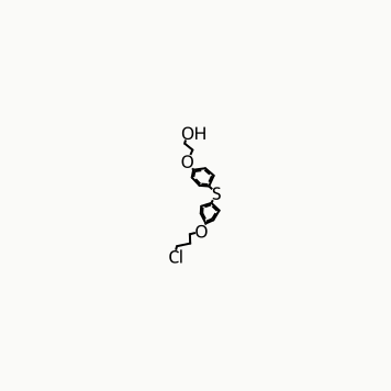 OCCOc1ccc(Sc2ccc(OCCCCl)cc2)cc1